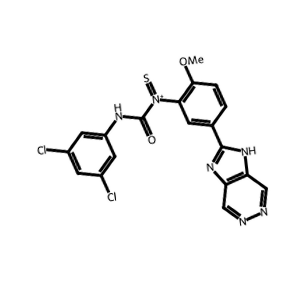 COc1ccc(-c2nc3cnncc3[nH]2)cc1[N+](=S)C(=O)Nc1cc(Cl)cc(Cl)c1